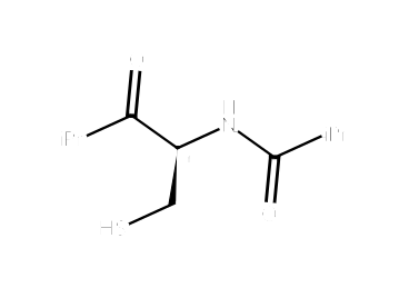 CC(C)C(=O)N[C@@H](CS)C(=O)C(C)C